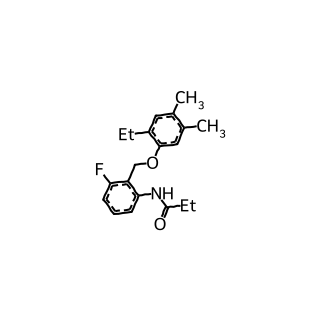 CCC(=O)Nc1cccc(F)c1COc1cc(C)c(C)cc1CC